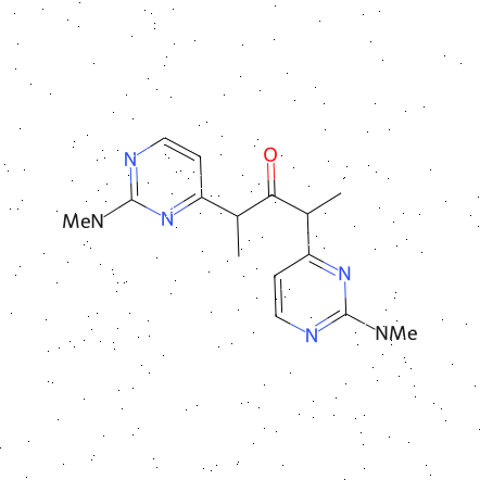 CNc1nccc(C(C)C(=O)C(C)c2ccnc(NC)n2)n1